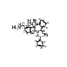 NCc1cccc(C2(CC(=O)O)C(=O)N(CCc3ccccc3)C(=C=O)c3ccccc3N2N)c1